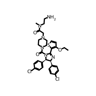 CCOc1ccsc1C1=N[C@@H](c2ccc(Cl)cc2)[C@@H](c2ccc(Cl)cc2)N1C(=O)N1CCN(CC(=O)N(C)CCN)CC1